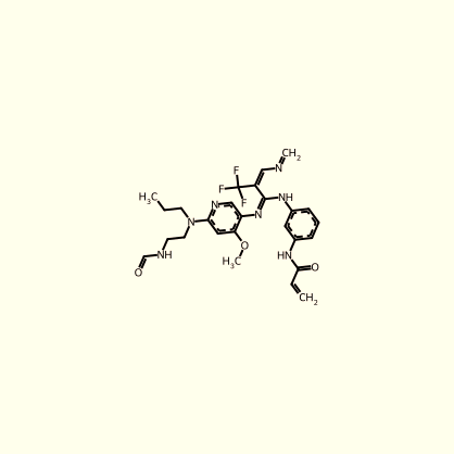 C=CC(=O)Nc1cccc(NC(=N/c2cnc(N(CCC)CCNC=O)cc2OC)/C(=C\N=C)C(F)(F)F)c1